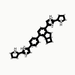 c1cc(-c2ccc(-c3c[nH]c(C4CCCN4)n3)c3c2C2CCC2C3)ccc1-c1cnc(C2CCCN2)[nH]1